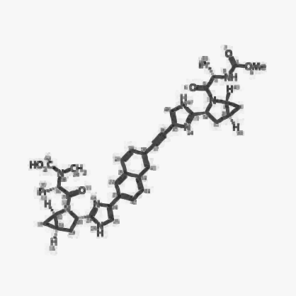 COC(=O)N[C@H](C(=O)N1[C@@H]2C[C@H]2C[C@H]1c1nc(C#Cc2ccc3cc(-c4c[nH]c([C@@H]5C[C@H]6C[C@H]6N5C(=O)[C@H](C(C)C)N(C)C(=O)O)n4)ccc3c2)c[nH]1)C(C)C